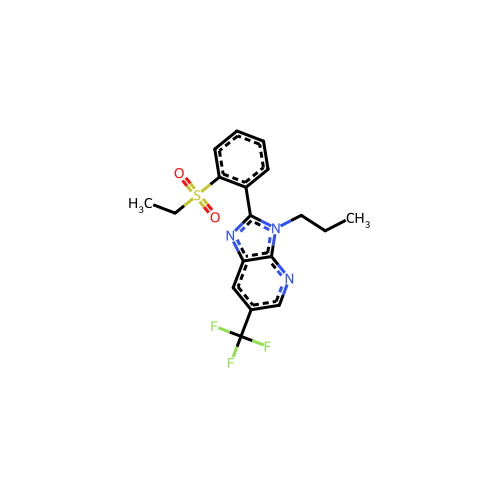 CCCn1c(-c2ccccc2S(=O)(=O)CC)nc2cc(C(F)(F)F)cnc21